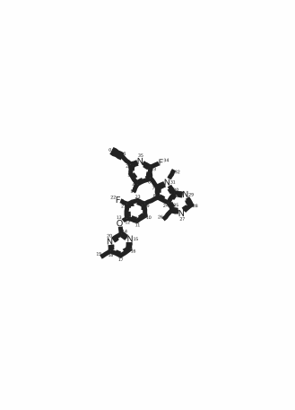 C#Cc1cc(C)c(-c2c(-c3ccc(Oc4nccc(C)n4)c(F)c3)c3c(C)ncnc3n2C)c(F)n1